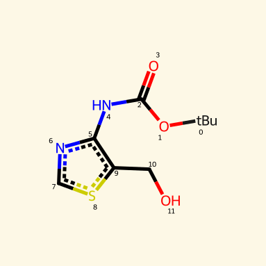 CC(C)(C)OC(=O)Nc1ncsc1CO